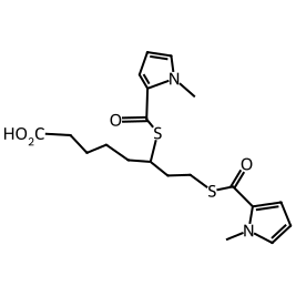 Cn1cccc1C(=O)SCCC(CCCCC(=O)O)SC(=O)c1cccn1C